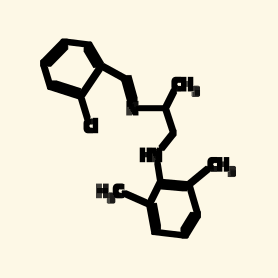 Cc1cccc(C)c1NCC(C)/N=C/c1ccccc1Cl